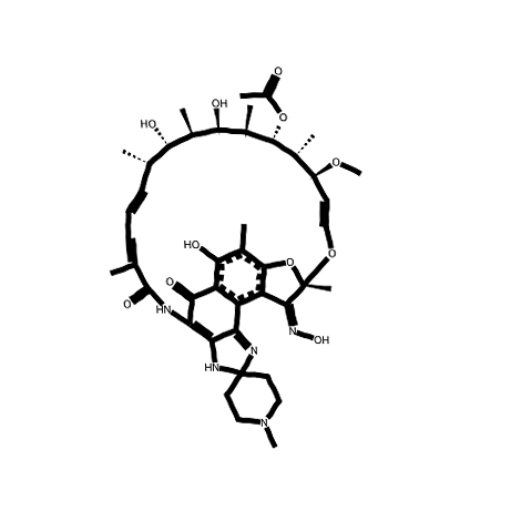 CO[C@H]1/C=C/O[C@@]2(C)Oc3c(C)c(O)c4c(c3/C2=N/O)C2=NC3(CCN(C)CC3)NC2=C(NC(=O)/C(C)=C\C=C\[C@H](C)[C@H](O)[C@@H](C)[C@@H](O)[C@@H](C)[C@H](OC(C)=O)[C@@H]1C)C4=O